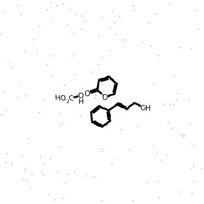 O=C(O)O.O=c1cccco1.OCC=Cc1ccccc1